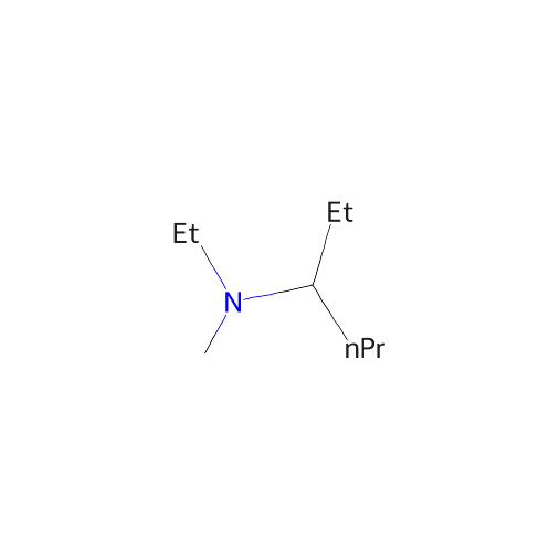 CCCC(CC)N(C)CC